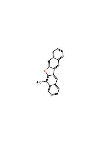 Cc1c2ccccc2cc2c1oc1cc3ccccc3cc12